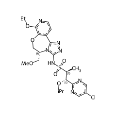 CCOc1nccc2c1OC[C@@H](COC)n1c(NS(=O)(=O)[C@@H](C)[C@@H](OC(C)C)c3ncc(Cl)cn3)nnc1-2